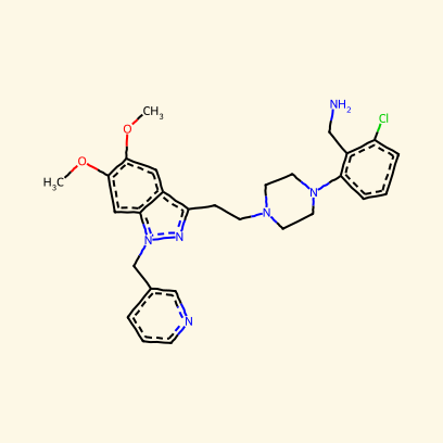 COc1cc2c(CCN3CCN(c4cccc(Cl)c4CN)CC3)nn(Cc3cccnc3)c2cc1OC